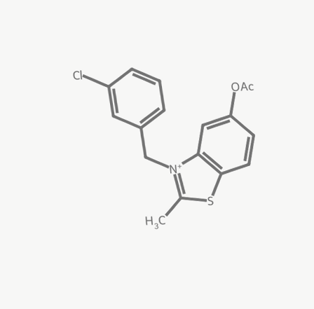 CC(=O)Oc1ccc2sc(C)[n+](Cc3cccc(Cl)c3)c2c1